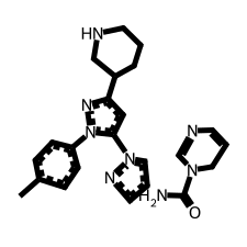 Cc1ccc(-n2nc(C3CCCNC3)cc2-n2cccn2)cc1.NC(=O)N1C=NC=CC1